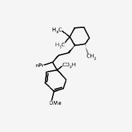 CCCC(CC[C@@H]1[C@@H](C)CCCC1(C)C)C1(C(=O)O)C=CC(OC)=CC1